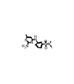 Cc1cc(Nc2cccc(S(=O)(=O)N(C)I)c2)nc(N)n1